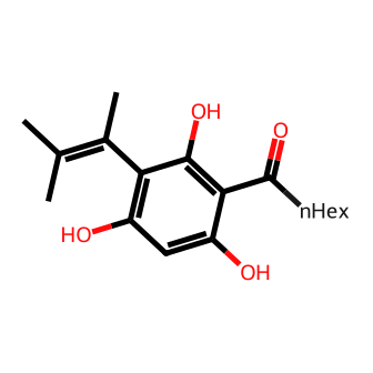 CCCCCCC(=O)c1c(O)cc(O)c(C(C)=C(C)C)c1O